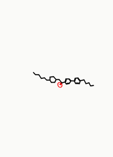 CCCCCCC1CCC(CC(=O)c2ccc(-c3ccc(CCCCC)cc3)cc2)CC1